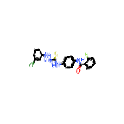 O=C(Nc1ccc(NC(=S)NNc2cccc(Cl)c2)cc1)c1ccccc1F